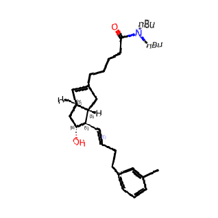 CCCCN(CCCC)C(=O)CCCCC1=C[C@H]2C[C@@H](O)[C@H](/C=C/CCc3cccc(C)c3)[C@H]2C1